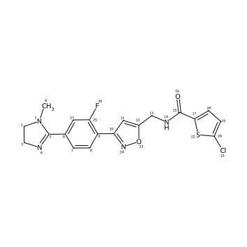 CN1CCN=C1c1ccc(-c2cc(CNC(=O)c3ccc(Cl)s3)on2)c(F)c1